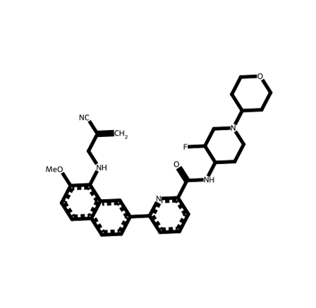 C=C(C#N)CNc1c(OC)ccc2ccc(-c3cccc(C(=O)NC4CCN(C5CCOCC5)CC4F)n3)cc12